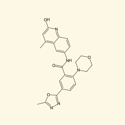 Cc1nnc(-c2ccc(N3CCOCC3)c(C(=O)Nc3ccc4nc(O)cc(C)c4c3)c2)o1